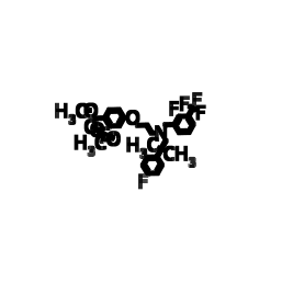 COC(=O)c1ccc(OCCCN(Cc2cccc(C(F)(F)F)c2F)CC(C)(C)c2ccc(F)cc2)cc1S(C)(=O)=O